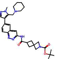 Cn1ncc(-c2ccc3nnc(NC(=O)C4CC5(C4)CN(C(=O)OC(C)(C)C)C5)cc3c2)c1CN1CCCCC1